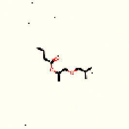 CCCC(=O)OC(C)COCC(C)C